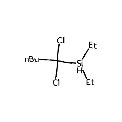 CCCCC(Cl)(Cl)[SiH](CC)CC